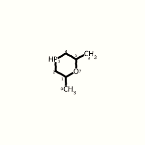 CC1CPCC(C)O1